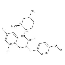 CC(C)Oc1ccc(CN(Cc2ccc(F)cc2F)C(=O)N[C@H]2CCN(C)C[C@@H]2C)cc1